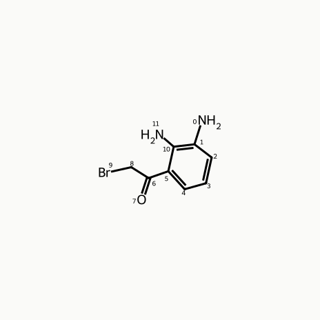 Nc1cccc(C(=O)CBr)c1N